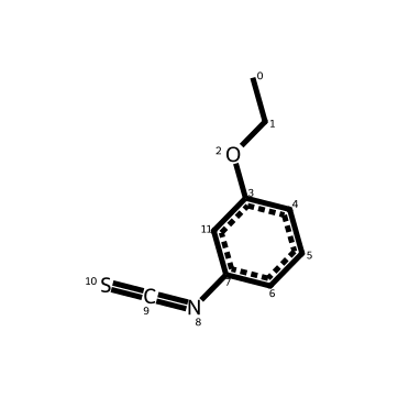 CCOc1cccc(N=C=S)c1